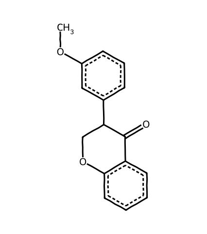 COc1cccc(C2COc3ccccc3C2=O)c1